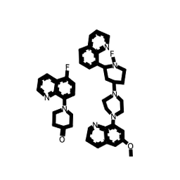 COc1cc(N2CCN(C3CCN(F)C(c4cccc5cccnc45)C3)CC2)c2ncccc2c1.O=C1CCN(c2ccc(F)c3cccnc23)CC1